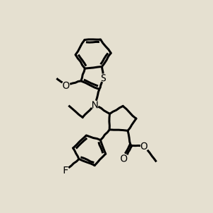 CCN(c1sc2ccccc2c1OC)C1CCC(C(=O)OC)C1c1ccc(F)cc1